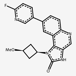 CO[C@H]1C[C@@H](n2c(=O)[nH]c3cnc4ccc(-c5ccc(F)nc5)cc4c32)C1